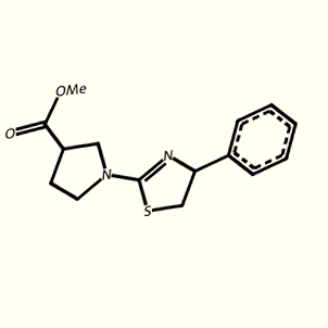 COC(=O)C1CCN(C2=NC(c3ccccc3)CS2)C1